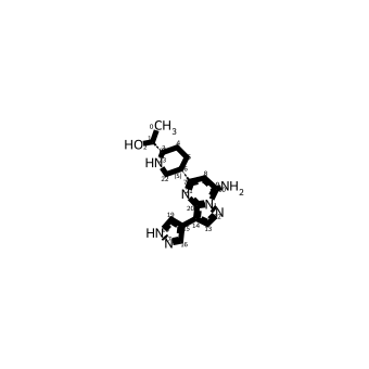 CC(O)[C@@H]1CC[C@H](c2cc(N)n3ncc(-c4cn[nH]c4)c3n2)CN1